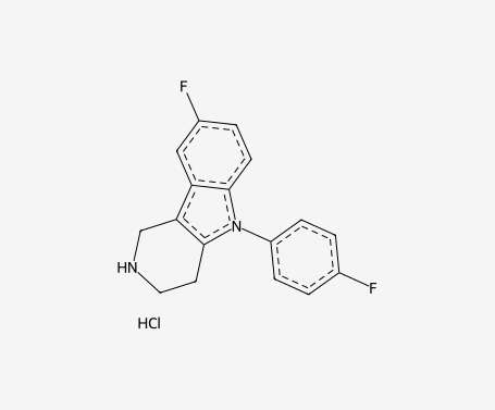 Cl.Fc1ccc(-n2c3c(c4cc(F)ccc42)CNCC3)cc1